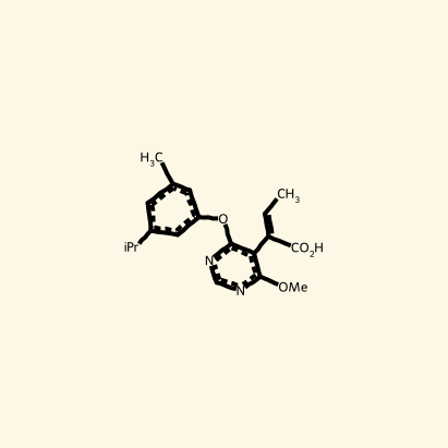 CC=C(C(=O)O)c1c(OC)ncnc1Oc1cc(C)cc(C(C)C)c1